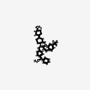 CN1CCC(N2CC[C@H](N(Cc3ccc(N(C)c4ccncc4)cc3)C(=O)C=Cc3ccc(C(F)(F)F)cc3)[C@H](F)C2)CC1